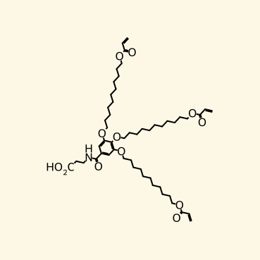 C=CC(=O)OCCCCCCCCCCCOc1cc(C(=O)NCCC(=O)O)cc(OCCCCCCCCCCCOC(=O)C=C)c1OCCCCCCCCCCCOC(=O)C=C